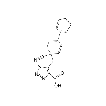 N#CC1(Cc2snnc2C(=O)O)C=CC(c2ccccc2)=CC1